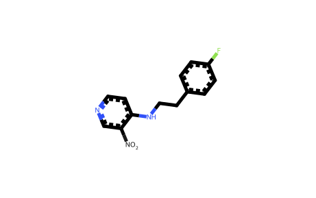 O=[N+]([O-])c1cnccc1NCCc1ccc(F)cc1